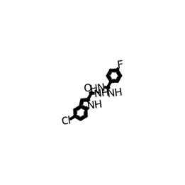 N=C(NNC(=O)c1cc2cc(Cl)ccc2[nH]1)c1ccc(F)cc1